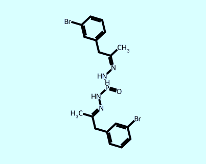 CC(Cc1cccc(Br)c1)=NN[PH](=O)NN=C(C)Cc1cccc(Br)c1